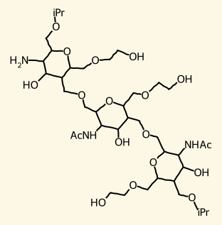 CC(=O)NC1C(COCC2C(COCCO)OC(COC(C)C)C(N)C2O)OC(COCCO)C(COCC2OC(COCCO)C(COC(C)C)C(O)C2NC(C)=O)C1O